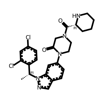 C[C@H](c1ccc(Cl)cc1Cl)n1ncc2ccc(N3CCN(C(=O)[C@H]4CCCCN4)CC3=O)cc21